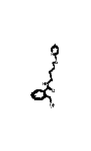 O=C(NCCCCSc1ccccn1)c1ccccc1CO